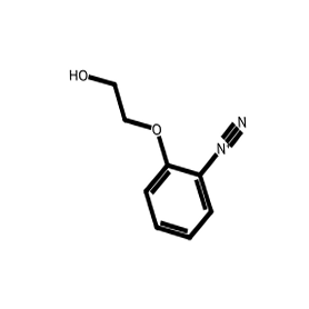 N#[N+]c1ccccc1OCCO